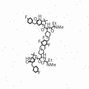 CC[C@H](NC)C(=O)N[C@H](C(=O)N1CC(C)(C)c2[nH]c(=O)c(Cc3ccc(F)cc3)cc21)C1CCN(Cc2c(F)c(F)c(CN3CCC([C@H](NC(=O)[C@H](CC)NC)C(=O)N4CC(C)(C)c5[nH]c(=O)c(Cc6ccc(F)cc6)cc54)CC3)c(F)c2F)CC1